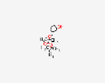 CC(C)(C)OC(=O)C(C)(C)OCC1CCC[C@H](O)C1